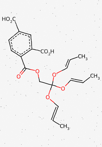 CC=COC(COC(=O)c1ccc(C(=O)O)cc1C(=O)O)(OC=CC)OC=CC